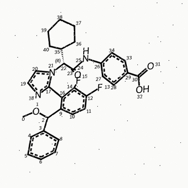 COC(c1ccccc1)c1ccc(F)c(F)c1-c1nccn1[C@@H](C(=O)Nc1ccc(C(=O)O)cc1)C1CCCCC1